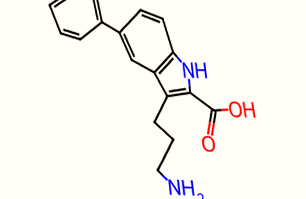 NCCCc1c(C(=O)O)[nH]c2ccc(-c3ccccc3)cc12